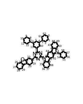 c1ccc(-c2cc(-c3ccccc3)cc(-c3nc(-c4ccc5c(c4)oc4ccccc45)nc(-n4c5ccccc5c5cc6c(cc54)c4ccccc4n6-c4ccccc4)n3)c2)cc1